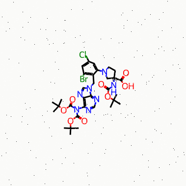 CC(C)(C)OC(=O)N[C@]1(C(=O)O)CCN(c2cc(Cl)cc(Br)c2Cn2cnc3c(N(C(=O)OC(C)(C)C)C(=O)OC(C)(C)C)ncnc32)C1